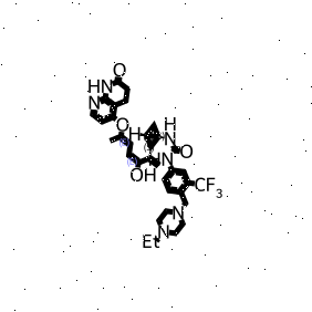 C=C(/C(O)=C\C=C(/C)Oc1ccnc2c1CCC(=O)N2)[C@@H]1[C@@H]2C[C@@]12NC(=O)Nc1ccc(CN2CCN(CC)CC2)c(C(F)(F)F)c1